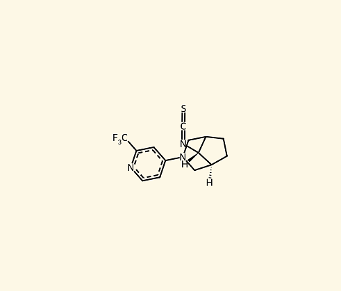 FC(F)(F)c1cc(N2CC3CC[C@@H](C2)[C@@H]3N=C=S)ccn1